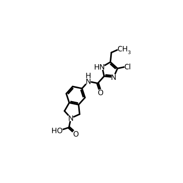 CCc1[nH]c(C(=O)Nc2ccc3c(c2)CN(C(=O)O)C3)nc1Cl